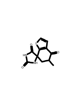 CC1CC2(NC(=O)NC2=O)c2sccc2C1=O